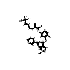 C=C(/C=C\C=C(/C)C(F)(F)F)C(=O)Nc1ccc(C)c(Nc2nc(-c3cccnc3)nc3c2cnn3C)c1